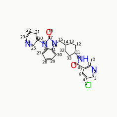 Cc1ncc(Cl)cc1C(=O)NC1CCC(Cn2c(=O)n(-c3cccnc3)c3ccccc32)CC1